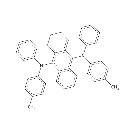 Cc1ccc(N(c2ccccc2)c2c3c(c(N(c4ccccc4)c4ccc(C)cc4)c4ccccc24)=CCCC=3)cc1